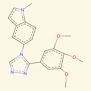 COc1cc(-c2nncn2-c2ccc3c(ccn3C)c2)cc(OC)c1OC